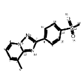 Cc1cccn2nc(-c3ccc(S(C)(=O)=O)cc3)nc12